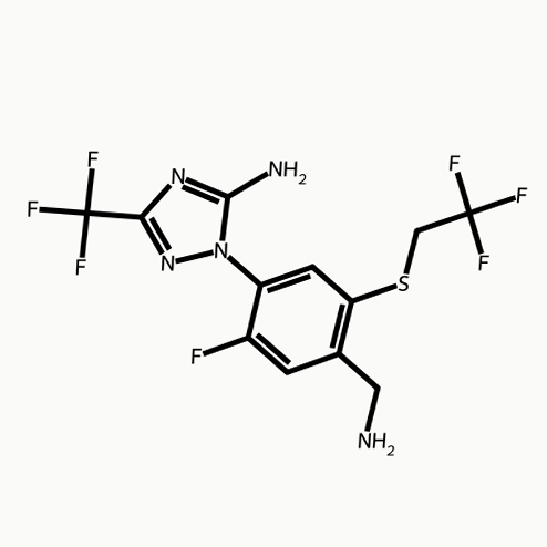 NCc1cc(F)c(-n2nc(C(F)(F)F)nc2N)cc1SCC(F)(F)F